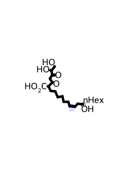 CCCCCC[C@@H](O)C/C=C\CCCCCCC(C(=O)O)C(=O)CC(=O)C(O)CO